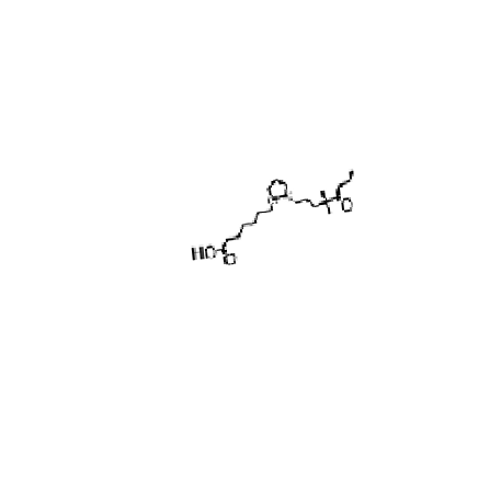 CCCC(=O)C(C)(C)CCC[C@H]1CCC[C@@H]1CCCCCCC(=O)O